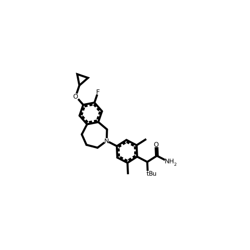 Cc1cc(N2CCCc3cc(OC4CC4)c(F)cc3C2)cc(C)c1C(C(N)=O)C(C)(C)C